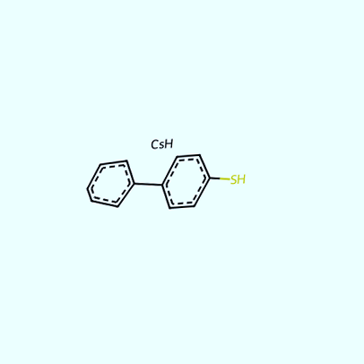 Sc1ccc(-c2ccccc2)cc1.[CsH]